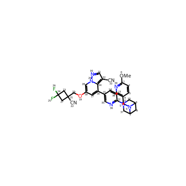 COc1ccc(CN2C3CC2CN(c2ccc(-c4cc(OCC5(C#N)CC(F)(F)C5)cn5ncc(C#N)c45)cn2)C3)cn1